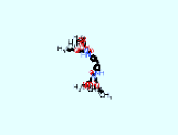 CCCCOCC(O)CN(CCC[Si](OC)(OC)OC)C(=O)NC1CCC(CC2CCC(NC(=O)N(CCC[Si](OC)(OC)OC)CC(O)COCCCC)CC2)CC1